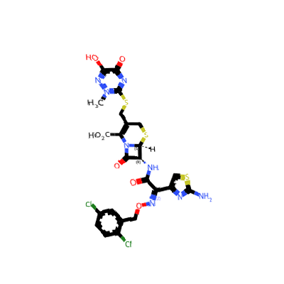 Cn1nc(O)c(=O)nc1SCC1=C(C(=O)O)N2C(=O)[C@@H](NC(=O)/C(=N\OCc3cc(Cl)ccc3Cl)c3csc(N)n3)[C@@H]2SC1